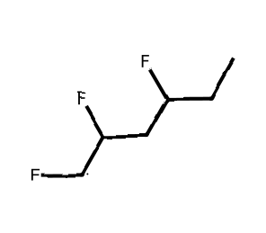 CCC(F)CC(F)[CH]F